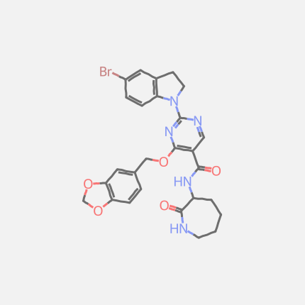 O=C(NC1CCCCNC1=O)c1cnc(N2CCc3cc(Br)ccc32)nc1OCc1ccc2c(c1)OCO2